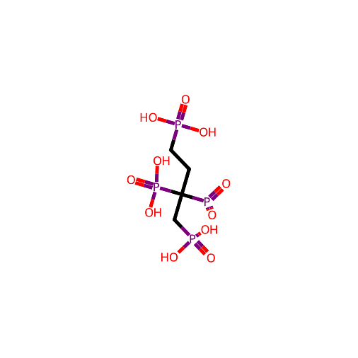 O=P(=O)C(CCP(=O)(O)O)(CP(=O)(O)O)P(=O)(O)O